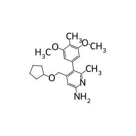 COc1cc(-c2c(COC3CCCC3)cc(N)nc2C)cc(OC)c1C